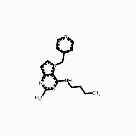 CCCCNc1nc(C)nc2ccn(Cc3ccncc3)c12